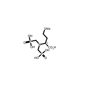 CSCC[C@@H](C(=O)O)N(CP(=O)(O)O)CP(=O)(O)O